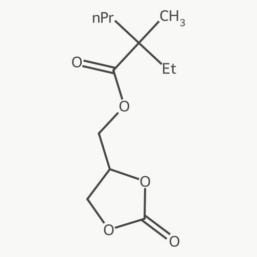 CCCC(C)(CC)C(=O)OCC1COC(=O)O1